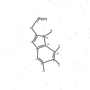 CCCC(C)Cc1cc2cc(C)c(C)c(C)c2n1C